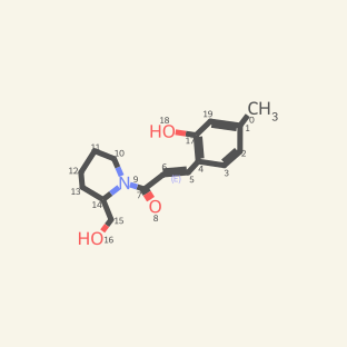 Cc1ccc(/C=C/C(=O)N2CCCCC2CO)c(O)c1